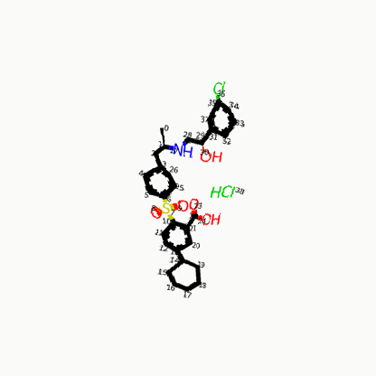 C[C@H](Cc1ccc(S(=O)(=O)c2ccc(C3CCCCC3)cc2C(=O)O)cc1)NC[C@@H](O)c1cccc(Cl)c1.Cl